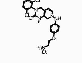 CCNCCOc1ccc(NN2C=CC3=C(C2)N(C)C(=O)N(c2c(Cl)cccc2Cl)C3)cc1